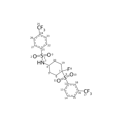 O=S(=O)(NC1CCC(F)(S(=O)(=O)c2cccc(C(F)(F)F)c2)CC1)c1ccc(C(F)(F)F)cc1